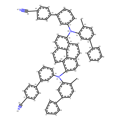 Cc1ccc(-c2ccccc2)cc1N(c1cccc(-c2ccc(C#N)cc2)c1)c1ccc2ccc3c(N(c4cccc(-c5ccc(C#N)cc5)c4)c4cc(-c5ccccc5)ccc4C)ccc4ccc1c2c43